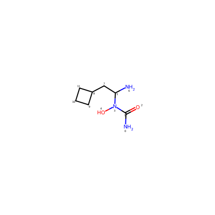 NC(=O)N(O)C(N)CC1CCC1